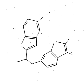 CC(Cc1ccc2c(Cl)c(C(C)(C)C)sc2c1)c1cc2cc(C(F)(F)F)ccc2s1